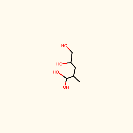 CC(CC(O)CO)[C](O)O